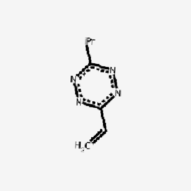 C=Cc1nnc(C(C)C)nn1